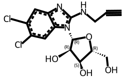 C#CCNc1nc2cc(Cl)c(Cl)cc2n1[C@@H]1O[C@H](CO)[C@@H](O)[C@H]1O